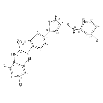 CCc1cc(Cl)cc(C)c1NC(Cc1ccc(-c2c[nH]c(CNc3cc(C)ccn3)c2)cc1)C(=O)O